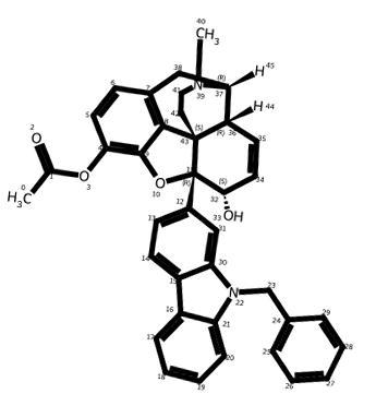 CC(=O)Oc1ccc2c3c1O[C@@]1(c4ccc5c6ccccc6n(Cc6ccccc6)c5c4)[C@@H](O)C=C[C@H]4[C@@H](C2)N(C)CC[C@@]341